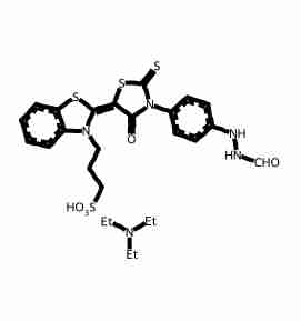 CCN(CC)CC.O=CNNc1ccc(N2C(=O)C(=C3Sc4ccccc4N3CCCS(=O)(=O)O)SC2=S)cc1